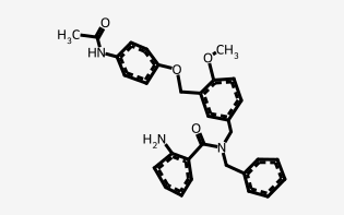 COc1ccc(CN(Cc2ccccc2)C(=O)c2ccccc2N)cc1COc1ccc(NC(C)=O)cc1